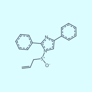 C=CC[S+]([O-])n1cc(-c2ccccc2)nc1-c1ccccc1